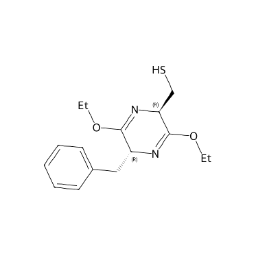 CCOC1=N[C@H](Cc2ccccc2)C(OCC)=N[C@H]1CS